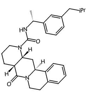 CC(C)Cc1cccc([C@@H](C)NC(=O)N2CCC[C@H]3C(=O)N4CCc5ccccc5[C@@H]4C[C@H]32)c1